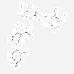 COC(=O)[C@H](CSC(=O)[C@H](CSC(=O)c1cc(-c2ccc(F)cc2F)ccc1O)NC(C)=O)NC(C)=O